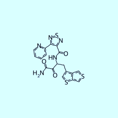 NC(=O)C(=O)C(Cc1csc2cscc12)NC(=O)c1nsnc1-c1ccccn1